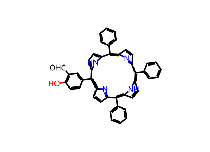 O=Cc1cc(-c2c3nc(c(-c4ccccc4)c4ccc([nH]4)c(-c4ccccc4)c4nc(c(-c5ccccc5)c5ccc2[nH]5)C=C4)C=C3)ccc1O